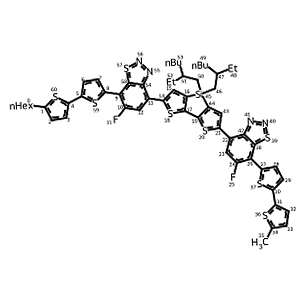 CCCCCCc1ccc(-c2ccc(-c3c(F)cc(-c4cc5c(s4)-c4sc(-c6cc(F)c(-c7ccc(-c8ccc(C)s8)s7)c7snnc67)cc4[Si]5(CC(CC)CCCC)CC(CC)CCCC)c4nnsc34)s2)s1